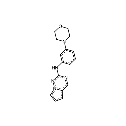 c1cc(Nc2ncc3cccn3n2)cc(N2CCOCC2)c1